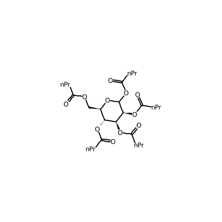 CCCC(=O)OC[C@H]1OC(OC(=O)CCC)[C@@H](OC(=O)CCC)[C@@H](OC(=O)CCC)[C@@H]1OC(=O)CCC